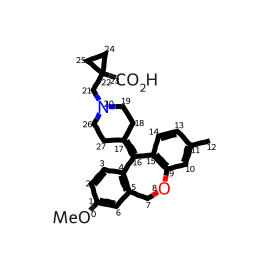 COc1ccc2c(c1)COc1cc(C)ccc1C2=C1CCN(CC2(C(=O)O)CC2)CC1